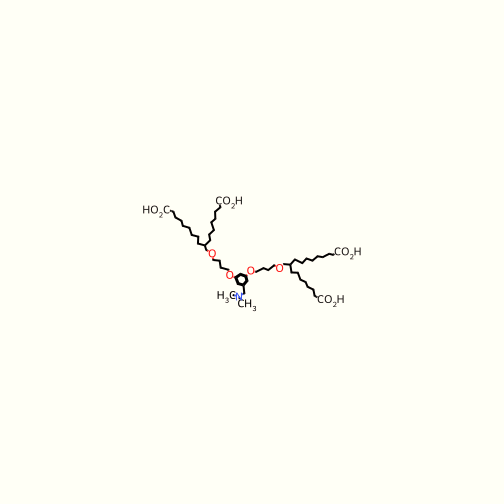 CN(C)Cc1cc(OCCCCOCC(CCCCCCCCC(=O)O)CCCCCCCC(=O)O)cc(OCCCCOCC(CCCCCCCCC(=O)O)CCCCCCCC(=O)O)c1